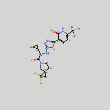 O=C([C@H](Nc1nnc(-c2ccc(C(F)(F)F)[nH]c2=O)o1)C1CC1)N1CC[C@@]2(C1)CC2(F)F